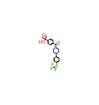 O=C(c1ccc(C2(O)COC2)cc1)N1CCC(c2ccc(SC(F)(F)F)cc2)CC1